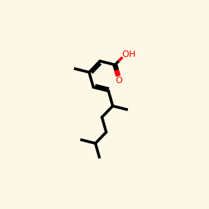 CC(C=CC(C)CCC(C)C)=CC(=O)O